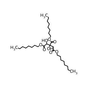 CCCCCCCCOC(=O)CC(O)(C(=O)OCCCCCCCC)C(O)C(=O)OCCCCCCCC